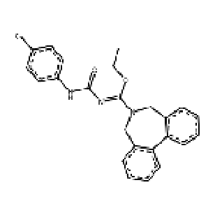 CCO/C(=N\C(=O)Nc1ccc(Cl)cc1)N1Cc2ccccc2-c2ccccc2C1